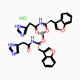 Cl.O=C(Cc1cnc[nH]1)N[C@@H](Cc1coc2ccccc12)OBO[C@H](Cc1coc2ccccc12)NC(=O)Cc1cnc[nH]1